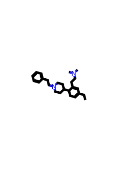 CCC1=CCC(C2CCN(CCc3ccccc3)CC2)C(CCN(C)C)=C1